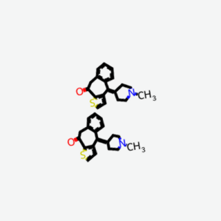 CN1CCC(=C2c3ccccc3CC(=O)c3sccc32)CC1.CN1CCC(=C2c3ccccc3CC(=O)c3sccc32)CC1